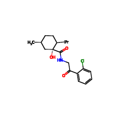 CC1CCC(C(C)C)[C@@](O)(C(=O)NCC(=O)c2ccccc2Cl)C1